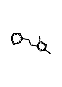 Cc1cn(C)c(SCc2ccccc2)n1